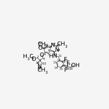 COCC1(COc2cc3c(NCc4cccc(C(F)(F)CO)c4F)nc(C)nc3cc2OC)CN(C)C1